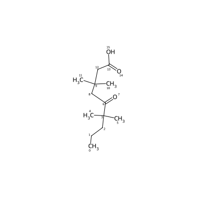 CCCC(C)(C)C(=O)CC(C)(C)CC(=O)O